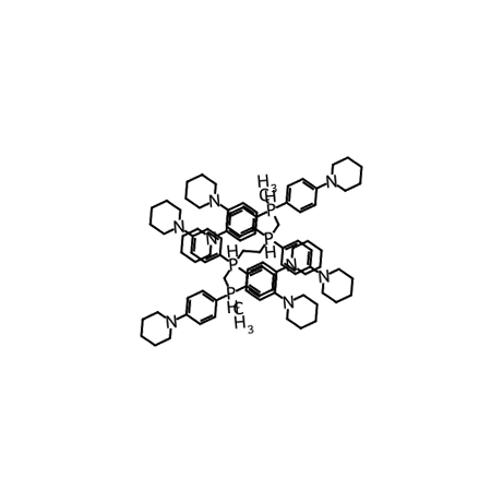 C[PH](C[PH](CC[PH](C[PH](C)(c1ccc(N2CCCCC2)cc1)c1ccc(N2CCCCC2)cc1)(c1ccc(N2CCCCC2)cc1)c1ccc(N2CCCCC2)cc1)(c1ccc(N2CCCCC2)cc1)c1ccc(N2CCCCC2)cc1)(c1ccc(N2CCCCC2)cc1)c1ccc(N2CCCCC2)cc1